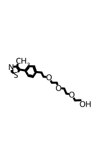 Cc1ncsc1-c1ccc(CCOCCOCCOCCO)cc1